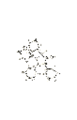 CC1(c2ccccc2)C(=O)C(c2ccccc2)=C(c2ccccc2)C1c1ccccc1